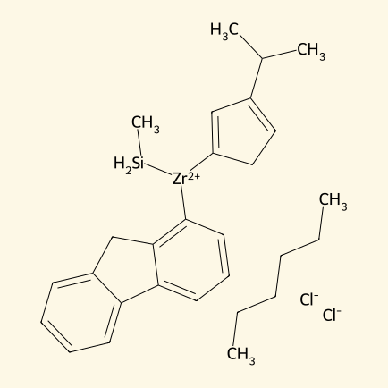 CCCCCC.C[SiH2][Zr+2]([C]1=CC(C(C)C)=CC1)[c]1cccc2c1Cc1ccccc1-2.[Cl-].[Cl-]